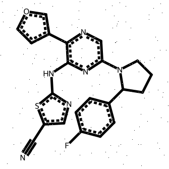 N#Cc1cnc(Nc2nc(N3CCCC3c3ccc(F)cc3)cnc2-c2ccoc2)s1